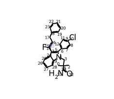 CC(C)(Cn1c(-c2ccc(Cl)cc2)c(/C(F)=C/Cc2ccccc2)c2ccccc21)C(N)=O